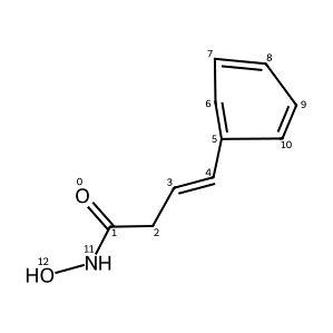 O=C(C/C=C/c1ccccc1)NO